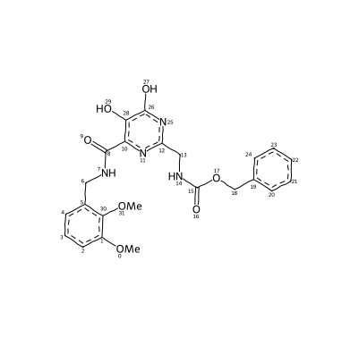 COc1cccc(CNC(=O)c2nc(CNC(=O)OCc3ccccc3)nc(O)c2O)c1OC